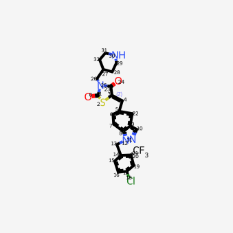 O=C1S/C(=C\c2ccc3c(cnn3Cc3ccc(Cl)cc3C(F)(F)F)c2)C(=O)N1CC1CCNCC1